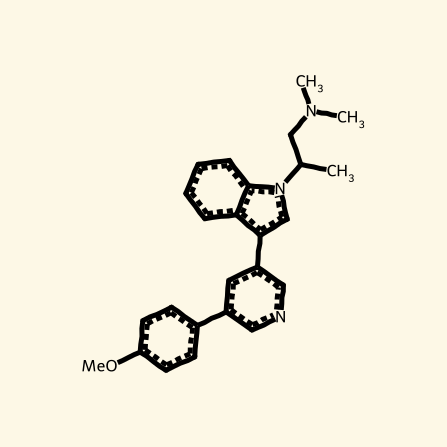 COc1ccc(-c2cncc(-c3cn(C(C)CN(C)C)c4ccccc34)c2)cc1